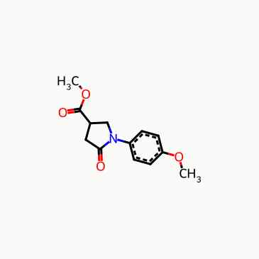 COC(=O)C1CC(=O)N(c2ccc(OC)cc2)C1